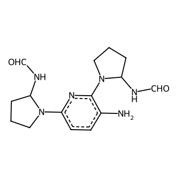 Nc1ccc(N2CCCC2NC=O)nc1N1CCCC1NC=O